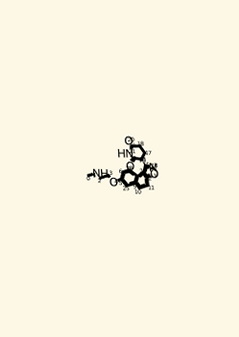 CNCCOc1ccc2c(ccc3onc([C@H]4CCC(=O)NC4=O)c32)c1